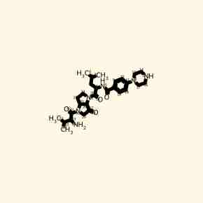 CC(C)CC(NC(=O)c1ccc(N2CCNCC2)cc1)C(=O)N1CCC2C1C(=O)CN2C(=O)C(N)C(C)C